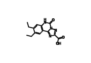 CCc1cc2[nH]c(=O)n3nc(C(=O)O)nc3c2cc1CC